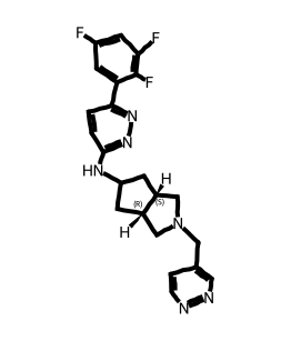 Fc1cc(F)c(F)c(-c2ccc(NC3C[C@@H]4CN(Cc5ccnnc5)C[C@@H]4C3)nn2)c1